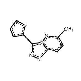 Cc1ccc2nnc(-c3cccs3)n2n1